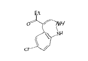 CCC(=O)C1=CNNc2ccc(Cl)cc21